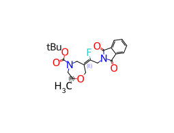 C[C@@H]1CN(C(=O)OC(C)(C)C)C/C(=C(\F)CN2C(=O)c3ccccc3C2=O)CO1